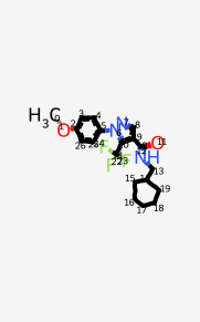 COc1ccc(-n2ncc(C(=O)NCC3CCCCC3)c2C(F)(F)F)cc1